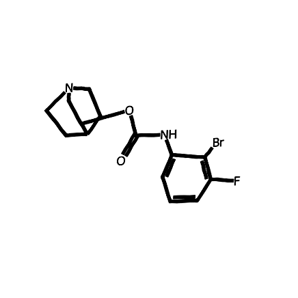 O=C(Nc1cccc(F)c1Br)OC1CN2CCC1CC2